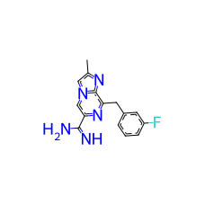 Cc1cn2cc(C(=N)N)nc(Cc3cccc(F)c3)c2n1